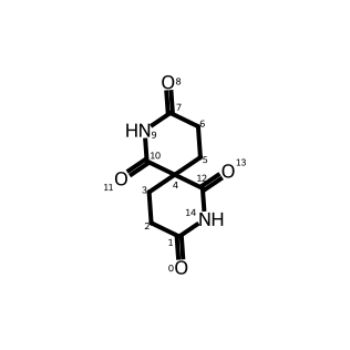 O=C1CCC2(CCC(=O)NC2=O)C(=O)N1